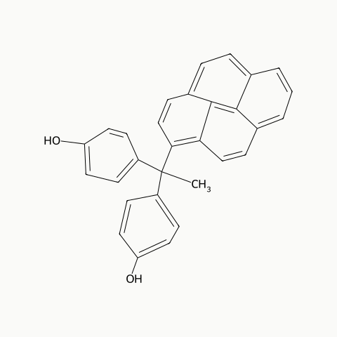 CC(c1ccc(O)cc1)(c1ccc(O)cc1)c1ccc2ccc3cccc4ccc1c2c34